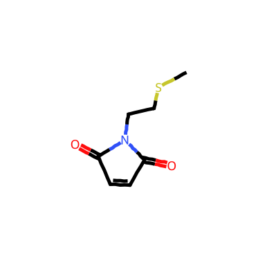 CSCCN1C(=O)C=CC1=O